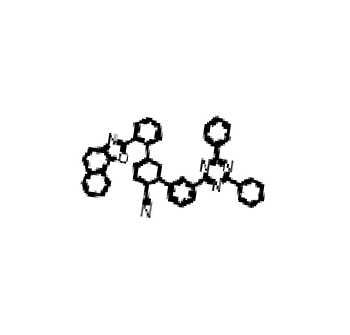 N#CC1=CC=C(c2ccccc2-c2nc3ccc4ccccc4c3o2)CC1c1cccc(-c2nc(-c3ccccc3)nc(-c3ccccc3)n2)c1